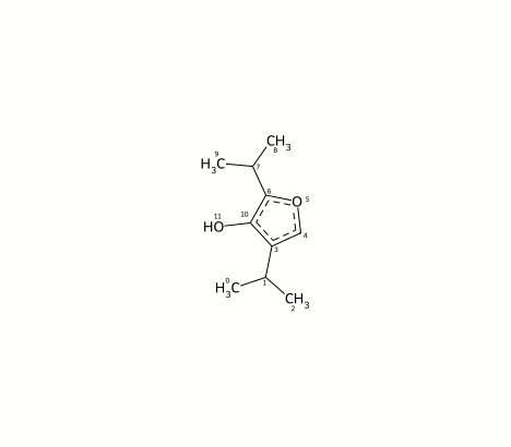 CC(C)c1coc(C(C)C)c1O